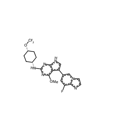 COc1nc(N[C@H]2CC[C@@H](OC(F)(F)F)CC2)nc2[nH]cc(-c3cc(F)c4nccn4c3)c12